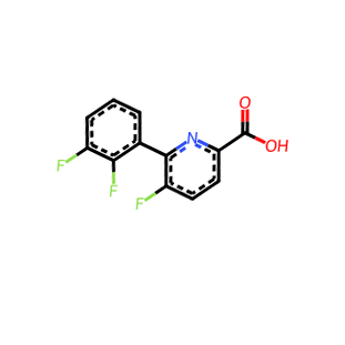 O=C(O)c1ccc(F)c(-c2cccc(F)c2F)n1